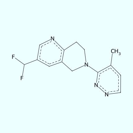 Cc1ccnnc1N1CCc2ncc(C(F)F)cc2C1